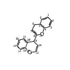 [c]1cccc2c1CC=C(C1C=COc3ccccc31)O2